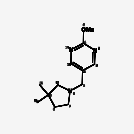 COc1ncc(CN2CCC(C)(C)C2)cn1